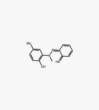 CN(/N=C1/C=CC=CC1=N)c1cc(C(C)(C)C)ccc1O